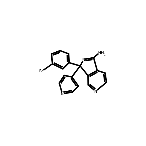 NC1=NC(c2ccncc2)(c2cccc(Br)c2)c2cnccc21